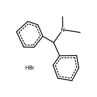 Br.CN(C)C(c1ccccc1)c1ccccc1